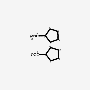 O=C([O-])C1CCCC1.O=C([O-])C1CCCC1.[Mn+2]